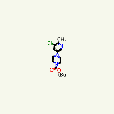 Cc1ncc(N2CCN(C(=O)OC(C)(C)C)CC2)cc1Cl